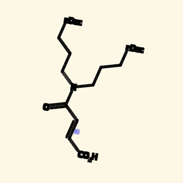 CCCCCCCCCCCCCN(CCCCCCCCCCCCC)C(=O)/C=C/C(=O)O